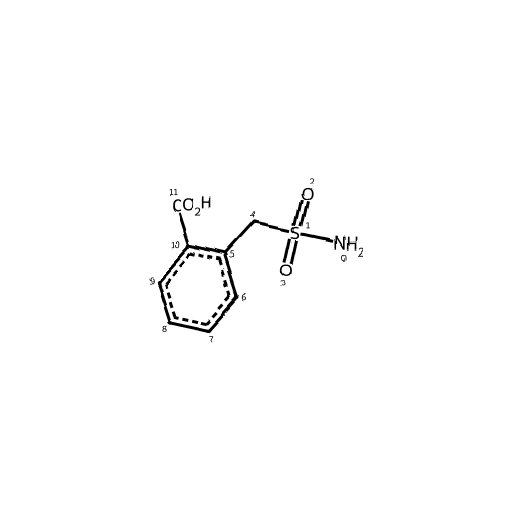 NS(=O)(=O)Cc1ccccc1C(=O)O